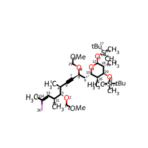 COCO[C@@H]([C@@H](C)C#C[C@H](C[C@@H]1O[C@@H](O[Si](C)(C)C(C)(C)C)[C@H](C)[C@@H](O[Si](C)(C)C(C)(C)C)[C@H]1C)OCOC)[C@@H](C)/C=C(/C)I